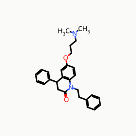 CN(C)CCCOc1ccc2c(c1)C(c1ccccc1)CC(=O)N2CCc1ccccc1